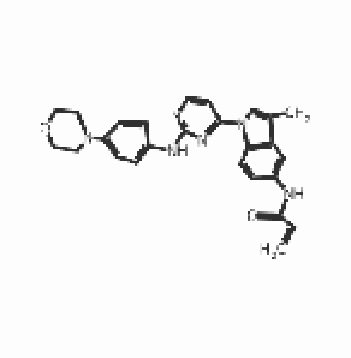 C=CC(=O)Nc1ccc2c(c1)c(C)cn2-c1ccnc(Nc2ccc(N3CCOCC3)cc2)n1